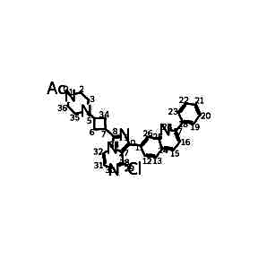 CC(=O)N1CCN(C2CC(c3nc(-c4ccc5ccc(-c6ccccc6)nc5c4)c4c(Cl)nccn34)C2)CC1